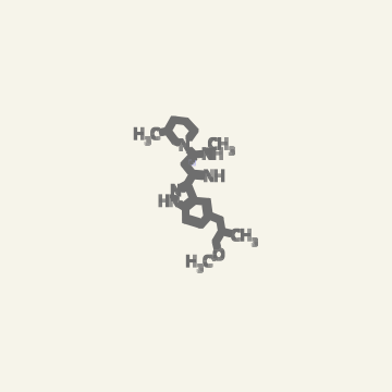 CN/C(=C\C(=N)c1n[nH]c2ccc(CC(C)COC)cc12)N1CCCC(C)C1